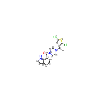 CC(c1cc(Cl)sc1Cl)N1CCN(C(=O)c2cccc3cc[nH]c23)CC1